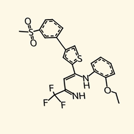 CCOc1ccccc1N/C(=C\C(=N)C(F)(F)F)c1cc(-c2cccc(S(C)(=O)=O)c2)cs1